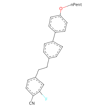 CCCCCOc1ccc(-c2ccc(CCc3ccc(C#N)c(F)c3)cc2)cc1